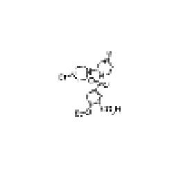 CCOc1ccc(S(=O)(=O)N2CCNCC2N2CCN(CC)CC2)cc1C(=O)O